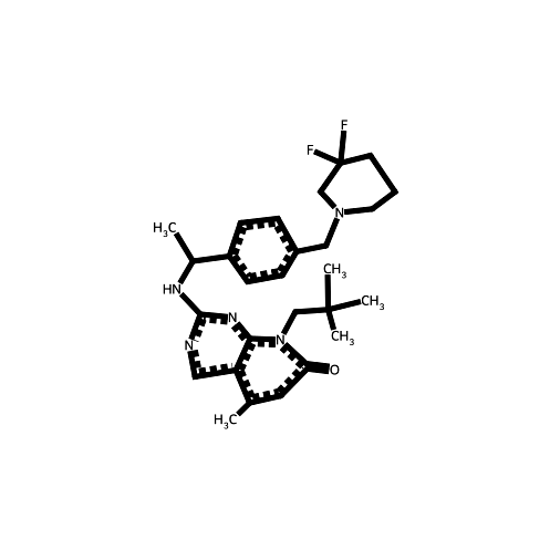 Cc1cc(=O)n(CC(C)(C)C)c2nc(NC(C)c3ccc(CN4CCCC(F)(F)C4)cc3)ncc12